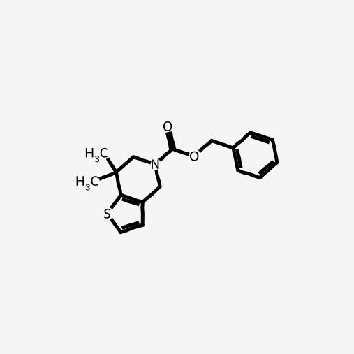 CC1(C)CN(C(=O)OCc2ccccc2)Cc2ccsc21